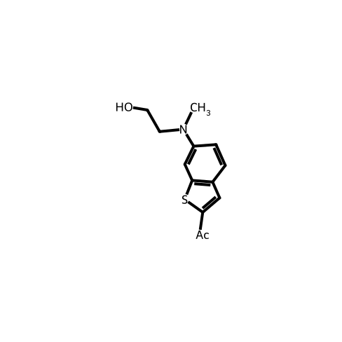 CC(=O)c1cc2ccc(N(C)CCO)cc2s1